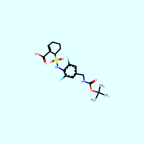 CC(C)(C)OC(=O)NCc1cc(F)c(NS(=O)(=O)C2CCCC=C2C(=O)O)c(F)c1